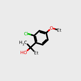 CCOc1ccc(C(C)(O)CC)c(Cl)c1